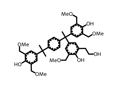 COCc1cc(C(C)(c2ccc(C(C)(C)c3cc(COC)c(O)c(COC)c3)cc2)c2cc(COC)c(O)c(COC)c2)cc(CCO)c1O